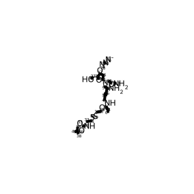 CC=C(NCC#C/C(N)=C/N(CON)[C@H]1C[C@@H](OCN=[N+]=[N-])[C@@H](CO)O1)OCCSSCCNC(=O)OC(C)(C)C